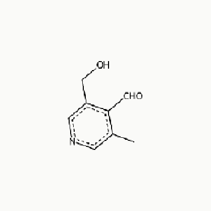 Cc1cncc(CO)c1C=O